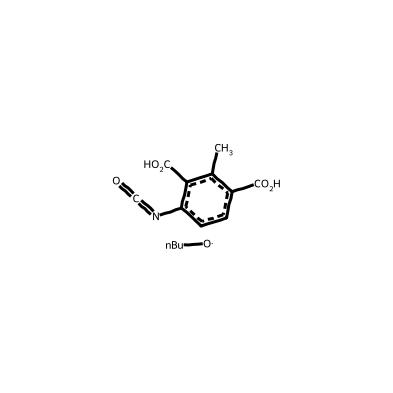 CCCC[O].Cc1c(C(=O)O)ccc(N=C=O)c1C(=O)O